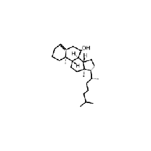 CC(C)CCC[C@@H](C)[C@H]1CC[C@H]2[C@@H]3[C@H](O)CC4=CCCC[C@]4(C)[C@H]3CC[C@]12C